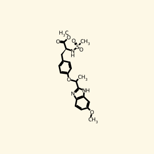 COC(=O)[C@H](Cc1ccc(OC(C)c2nc3ccc(OC)cc3[nH]2)cc1)NS(C)(=O)=O